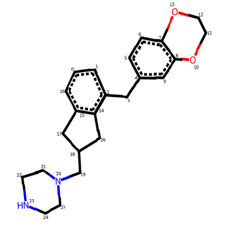 c1cc(Cc2ccc3c(c2)OCCO3)c2c(c1)CC(CN1CCNCC1)C2